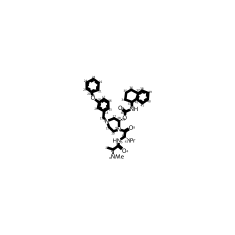 CN[C@@H](C)C(=O)N[C@H](C(=O)N1CCN(Cc2cccc(Oc3ccccc3)c2)C[C@@H]1OC(=O)NC1CCCc2ccccc21)C(C)C